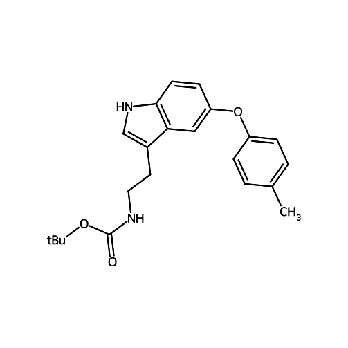 Cc1ccc(Oc2ccc3[nH]cc(CCNC(=O)OC(C)(C)C)c3c2)cc1